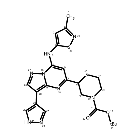 Cc1cc(Nc2cc(C3CN(C(=O)OC(C)(C)C)CCS3)nc3c(-c4cn[nH]c4)cnn23)sn1